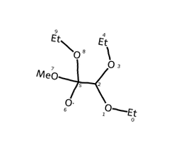 CCOC(OCC)C([O])(OC)OCC